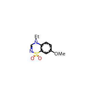 CCN1C=NS(=O)(=O)c2cc(OC)ccc21